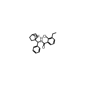 CCc1cccc(C(=O)NC(c2ccccc2)C23CCC(CC2)N3)c1Cl